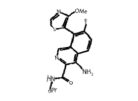 CCCNC(=O)c1ncc2c(-c3scnc3OC)c(F)ccc2c1N